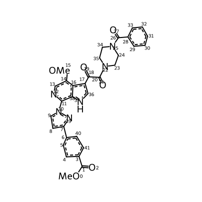 COC(=O)c1ccc(-c2ccn(-c3ncc(OC)c4c(C(=O)C(=O)N5CCN(C(=O)c6ccccc6)CC5)c[nH]c34)n2)cc1